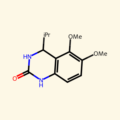 COc1ccc2c(c1OC)C(C(C)C)NC(=O)N2